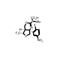 CC(C)(C)N(C(=O)O)C1=N[C@@]2(c3cc([N+](=O)[O-])ccc3F)CO[C@H](C(F)(F)F)[C@H]2CO1